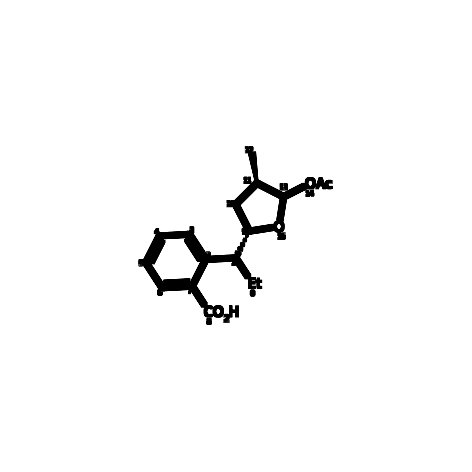 CCC(c1ccccc1C(=O)O)[C@@H]1C[C@@H](C)C(OC(C)=O)O1